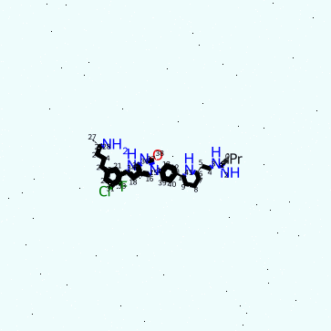 CC(C)C(=N)NCC[C@@H]1CCC[C@@H](c2ccc(-n3cc4cc(-c5cc(CCC[C@H](C)N)cc(Cl)c5F)[nH]c4nc3=O)cc2)N1